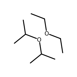 CC(C)OC(C)C.CCOCC